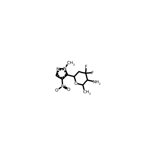 CC1OC(c2c([N+](=O)[O-])cnn2C)CC(F)(F)C1N